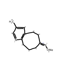 CO/N=C1\CCCc2ncc(C)cc2CC1